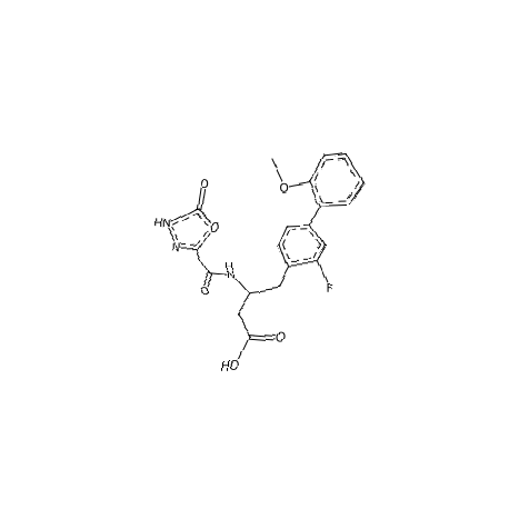 COc1ccccc1-c1ccc(CC(CC(=O)O)NC(=O)c2n[nH]c(=O)o2)c(F)c1